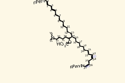 CCCCCC=CCC=CCCCCCCCCC(CCCCCCCC/C=C\C/C=C\CCCCC)C(CCCCN(C)C)OC(=O)O